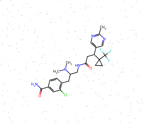 Cc1ncc(C(CC(=O)NCC(Cc2ccc(C(N)=O)cc2Cl)N(C)C)C2(C(F)(F)F)CC2)cn1